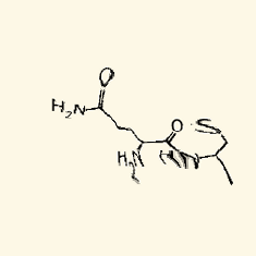 C[C@H](C[S])NC(=O)[C@@H](N)CCC(N)=O